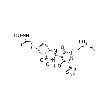 CC(C)CCn1nc(-c2cccs2)c(O)c(C2=Nc3ccc(OCC(=O)NO)cc3S(=O)(=O)N2)c1=O